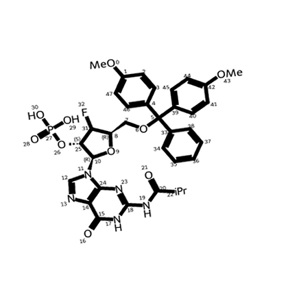 COc1ccc(C(OC[C@H]2O[C@@H](n3cnc4c(=O)[nH]c(NC(=O)C(C)C)nc43)[C@H](OP(=O)(O)O)C2F)(c2ccccc2)c2ccc(OC)cc2)cc1